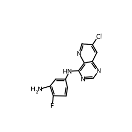 Nc1cc(Nc2ncnc3cc(Cl)cnc23)ccc1F